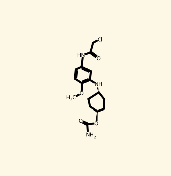 COc1ccc(NC(=O)CCl)cc1N[C@H]1CC[C@H](OC(N)=O)CC1